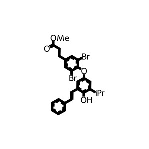 COC(=O)CCc1cc(Br)c(Oc2cc(C=Cc3ccccc3)c(O)c(C(C)C)c2)c(Br)c1